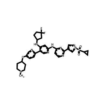 CN1CCC(Oc2ccc(-c3cnc(Nc4ccnc(-c5cnn(S(=O)(=O)C6CC6)c5)n4)cc3NC3CCC(F)(F)C3)nc2)CC1